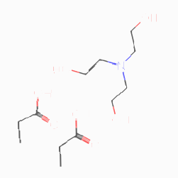 CCC(=O)O.CCC(=O)O.OCCN(CCO)CCO